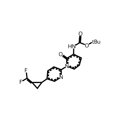 CC(C)(C)OC(=O)Nc1cccn(-c2ccc(C3CC3=C(F)F)cn2)c1=O